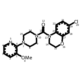 COc1cccnc1N1CCN(C(=O)N2CCOc3cc(Cl)ccc32)CC1